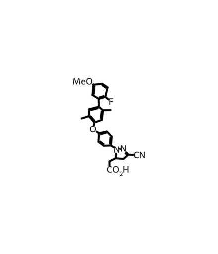 COc1ccc(F)c(-c2cc(C)c(Oc3ccc(N4N=C(C#N)CC4CC(=O)O)cc3)cc2C)c1